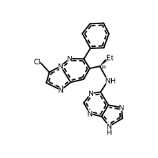 CC[C@@H](Nc1ncnc2[nH]cnc12)c1cc2ncc(Cl)n2nc1-c1ccccc1